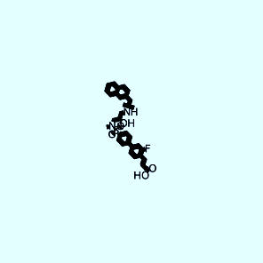 CN(C[C@H](O)CNC(C)(C)Cc1ccc2ccccc2c1)S(=O)(=O)c1ccc(-c2ccc(C=CC(=O)O)c(F)c2)cc1